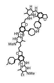 CCC1C(C)NC(Nc2cc3c(c(C4=CCN(C)CCC4)c2F)OC(CCC2C(C)NC(Nc4cc5c(c(C6=CCNCCC6)c4F)OC(CNC4NC(Nc6cc7c(c(C8=CCN(C)CCC8)c6F)OCC7)NC(C)C4C)C5)NC2NC)C3)NC1NC